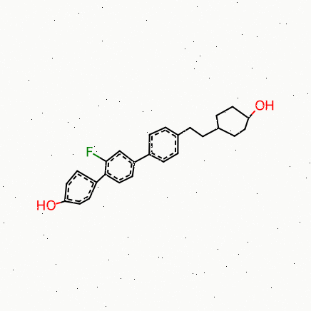 Oc1ccc(-c2ccc(-c3ccc(CCC4CCC(O)CC4)cc3)cc2F)cc1